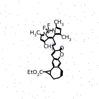 CCOC(=O)C1C2CCC#Cc3cc4oc(=O)c(/C=C/C5=C6C(C)=CC(C)=[N+]6[B-](F)(F)n6c(C)cc(C)c65)cc4cc3C21